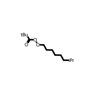 CC(C)CCCCCCOOC(=O)C(C)(C)C